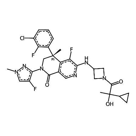 Cn1cc(F)c(N2C[C@](C)(c3cccc(Cl)c3F)c3c(cnc(NC4CN(C(=O)C(C)(O)C5CC5)C4)c3F)C2=O)n1